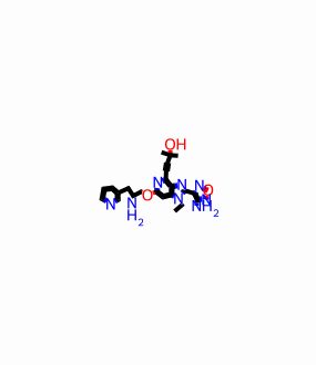 CCn1c(-c2nonc2N)nc2c(C#CC(C)(C)O)nc(OC[C@@H](N)Cc3cccnc3)cc21